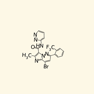 Cc1nc2c(Br)cc(-c3ccccc3C(F)(F)F)nn2c1C(=O)Nc1cccnn1